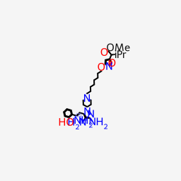 COC(=O)C(c1cc(OCCCCCCCCN2CCC(n3nc(N)c(N)c3/C=C(\N)c3ccccc3O)CC2)no1)C(C)C